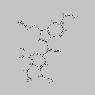 C=CCn1cc(C(=O)c2cc(OC)c(OC)c(OC)c2)c2ccc(OC)cc21